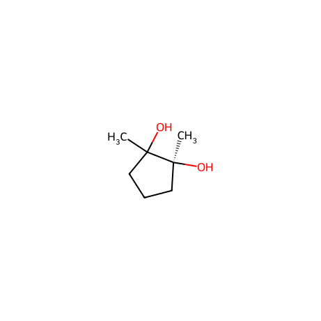 CC1(O)CCC[C@]1(C)O